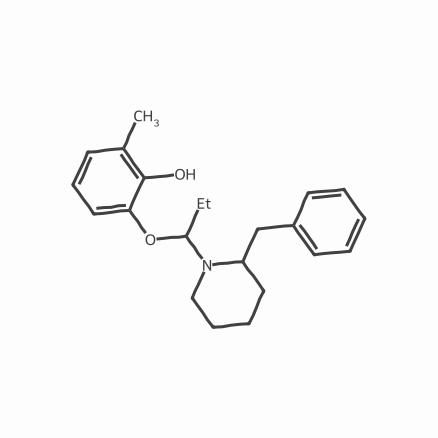 CCC(Oc1cccc(C)c1O)N1CCCCC1Cc1ccccc1